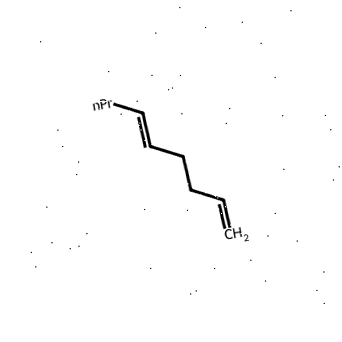 [CH2]CCC=CCCC=C